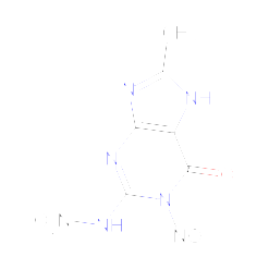 Cc1nc2nc(N[N+](=O)[O-])n(N=O)c(=O)c2[nH]1